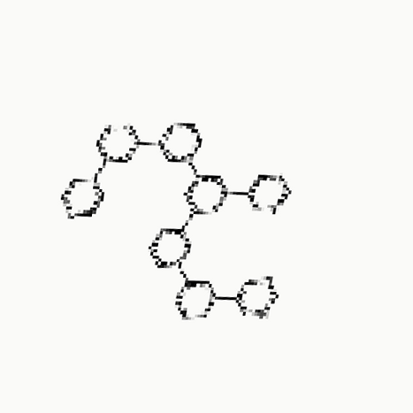 c1cncc(-c2cc(-c3cccc(-c4cccc(-c5ccncc5)c4)c3)cc(-c3cccc(-c4cccc(-c5cncnc5)c4)c3)c2)c1